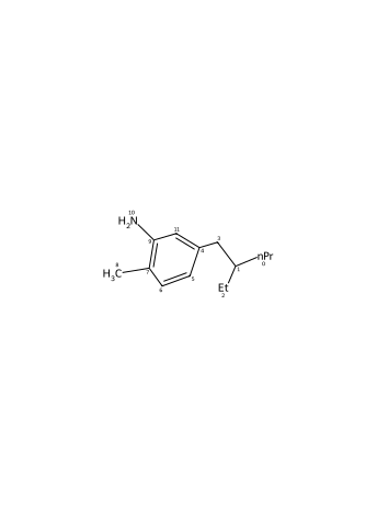 CCCC(CC)Cc1ccc(C)c(N)c1